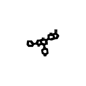 c1ccc(-c2cc3nc(-c4cnc5[nH]ccc5c4)nc(N4CCOCC4)c3s2)cc1